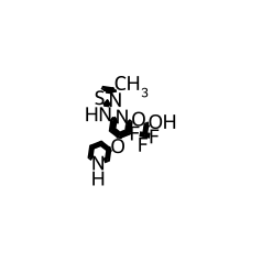 Cc1csc(Nc2cc(OC3CCCNC3)ccn2)n1.O=C(O)C(F)(F)F